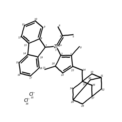 CC1=[C]([Zr+2](=[C](C)C)[CH]2c3ccccc3-c3ccccc32)C(C)C=C1CC12CC3CC(CC(C3)C1)C2.[Cl-].[Cl-]